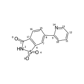 O=C1NS(=O)(=O)c2cc(-c3ccccn3)ccc21